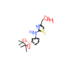 CC1(C)OB(c2cccc(Nc3nc(CO)cs3)c2)OC1(C)C